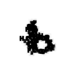 C=C[C@@H]1C[C@]1(NC(=O)[C@@H]1C[C@@H]2CN1C(=O)[C@H](C1CCCCC1)NC(C(F)(F)F)CCCCCc1cccc3c1CN(C3)C(=O)O2)C(=O)NS(=O)(=O)C1CC1